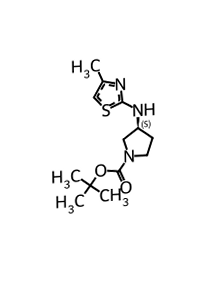 Cc1csc(N[C@H]2CCN(C(=O)OC(C)(C)C)C2)n1